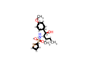 CC[C@H](C)[C@H](NS(=O)(=O)c1cccs1)C(O)c1ccc(OC)cc1